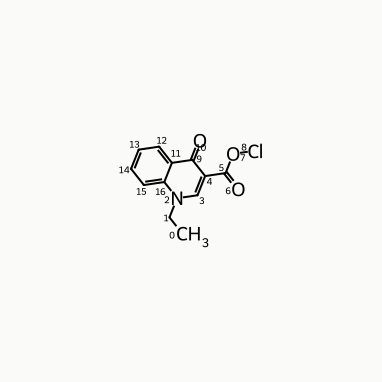 CCn1cc(C(=O)OCl)c(=O)c2ccccc21